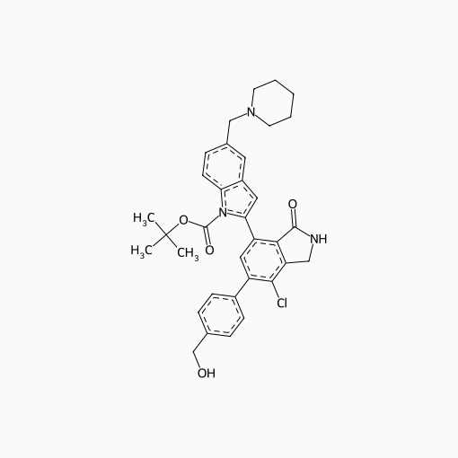 CC(C)(C)OC(=O)n1c(-c2cc(-c3ccc(CO)cc3)c(Cl)c3c2C(=O)NC3)cc2cc(CN3CCCCC3)ccc21